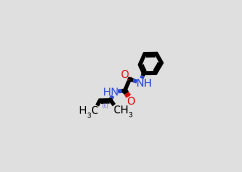 C/C=C(\C)NC(=O)C(=O)Nc1ccccc1